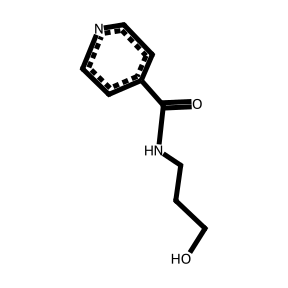 O=C(NCCCO)c1ccncc1